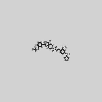 Cc1cc(NC2CCCC2)ccc1/C=C/S(=O)(=O)N1CCC2(CC1)N=C(c1cccc(OC(F)(F)F)c1)NC2=O